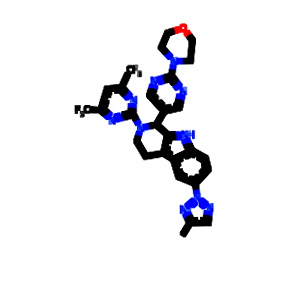 Cc1cnn(-c2ccc3[nH]c4c(c3c2)CCN(c2nc(C(F)(F)F)cc(C(F)(F)F)n2)C4c2cnc(N3CCOCC3)nc2)n1